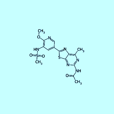 COc1ncc(-c2nc3c(C)nc(NC(C)=O)nc3s2)cc1NS(C)(=O)=O